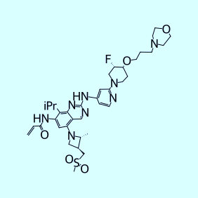 C=CC(=O)Nc1cc(N2C[C@H](CS(C)(=O)=O)[C@H]2C)c2cnc(Nc3ccnc(N4CC[C@@H](OCCCN5CCOCC5)[C@@H](F)C4)c3)nc2c1C(C)C